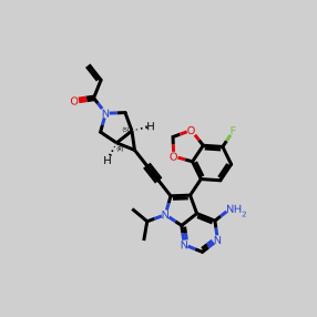 C=CC(=O)N1C[C@@H]2C(C#Cc3c(-c4ccc(F)c5c4OCO5)c4c(N)ncnc4n3C(C)C)[C@@H]2C1